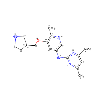 CNc1cc(C)nc(Nc2cnc(OC)c(OC[C@H]3CCNC3)c2)n1